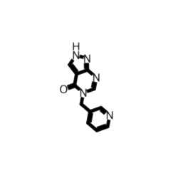 O=c1c2c[nH]nc2ncn1Cc1cccnc1